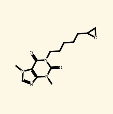 Cn1cnc2c1c(=O)n(CCCCCC1CO1)c(=O)n2C